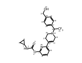 O=C(NC1CC1)Oc1cccc(C2=CCN(C(c3ccc(CO)cc3)C(F)(F)F)CC2)n1